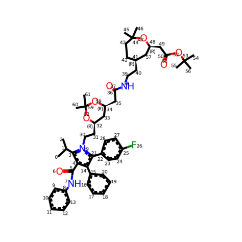 CC(C)c1c(C(=O)Nc2ccccc2)c(-c2ccccc2)c(-c2ccc(F)cc2)n1CC[C@@H]1C[C@H](CC(=O)NCC[C@H]2CCC(C)(C)O[C@@H](CC(=O)OC(C)(C)C)C2)OC(C)(C)O1